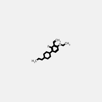 C=Cc1c(OCC)ccc(C2CCC(CCC)CC2)c1F